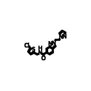 O=C(NCc1ccc(Cl)s1)c1ccc2cn(CCn3cccn3)nc2c1